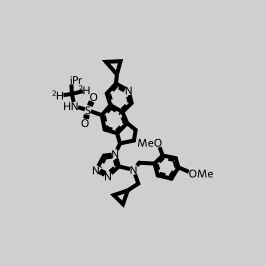 [2H]C([2H])(NS(=O)(=O)c1cc2c(c3cnc(C4CC4)cc13)CCC2n1cnnc1N(Cc1ccc(OC)cc1OC)CC1CC1)C(C)C